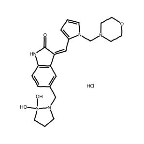 Cl.O=C1Nc2ccc(CN3CCCS3(O)O)cc2C1=Cc1cccn1CN1CCOCC1